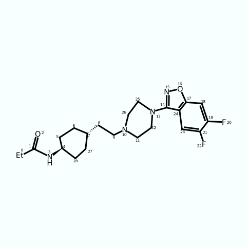 CCC(=O)N[C@H]1CC[C@H](CCN2CCN(c3noc4cc(F)c(F)cc34)CC2)CC1